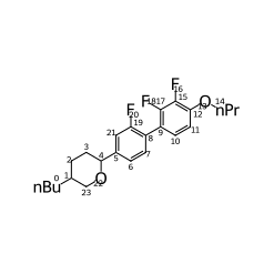 CCCCC1CCC(c2ccc(-c3ccc(OCCC)c(F)c3F)c(F)c2)OC1